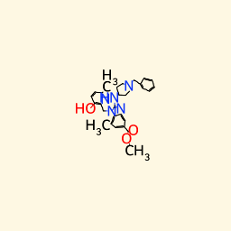 CCOC(=O)c1cc(C)c2c(c1)nc(NC1CCN(Cc3ccccc3)CC1)n2Cc1nc(C)ccc1O